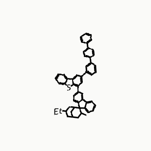 CCC1CC2CC(C)C3(c4ccccc4-c4cc(-c5cc(-c6cccc(-c7ccc(-c8ccccc8)cc7)c6)cc6c5sc5ccccc56)ccc43)C(C1)C2